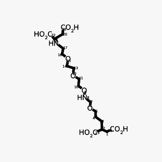 O=C(O)CC(CCCOCNOCCOCCOCCNC(CC(=O)O)C(=O)O)C(=O)O